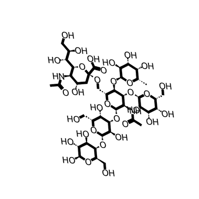 CC(=O)N[C@H]1[C@H](O[C@H]2[C@@H](O)[C@@H](CO)O[C@@H](O[C@H]3[C@H](O)[C@@H](O)[C@H](O)O[C@@H]3CO)[C@@H]2O)O[C@H](CO[C@]2(C(=O)O)C[C@H](O)[C@@H](NC(C)=O)[C@H]([C@H](O)[C@H](O)CO)O2)[C@@H](O[C@@H]2O[C@@H](C)[C@@H](O)[C@@H](O)[C@@H]2O)[C@@H]1O[C@@H]1O[C@H](CO)[C@H](O)[C@H](O)[C@H]1O